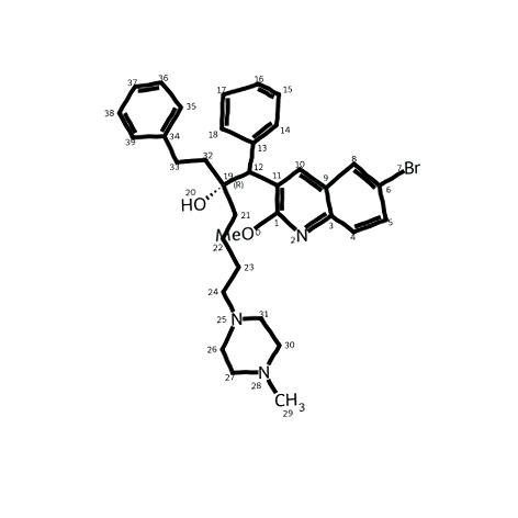 COc1nc2ccc(Br)cc2cc1C(c1ccccc1)[C@@](O)(CCCCN1CCN(C)CC1)CCc1ccccc1